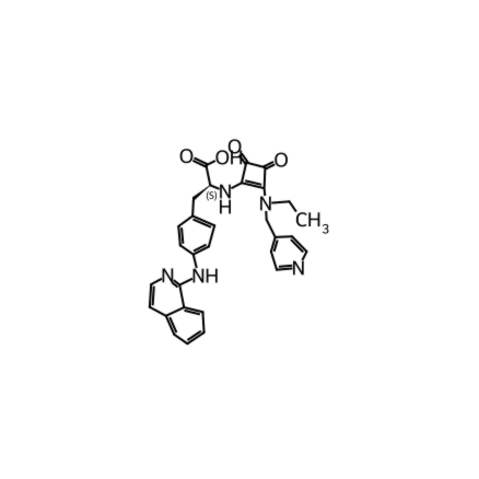 CCN(Cc1ccncc1)c1c(N[C@@H](Cc2ccc(Nc3nccc4ccccc34)cc2)C(=O)O)c(=O)c1=O